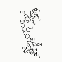 COC(=O)N[C@H](C(=O)N1C[C@@H](O)C[C@H]1C(=O)Nc1ccc(CN(Cc2ccc(NC(=O)[C@@H]3C[C@H](O)CN3C(=O)[C@@H](NC(=O)OC)C(C)(C)C)cc2)c2ccc(F)cc2)cc1)C(C)(C)C